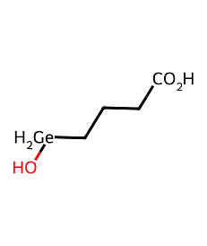 O=C(O)CC[CH2][GeH2][OH]